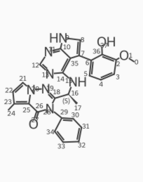 COc1cccc(-c2c[nH]c3ncnc(N[C@@H](C)c4nn5ccc(C)c5c(=O)n4-c4ccccc4)c23)c1O